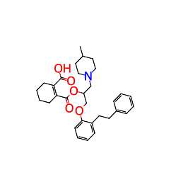 CC1CCN(CC(COc2ccccc2CCc2ccccc2)OC(=O)C2=C(C(=O)O)CCCC2)CC1